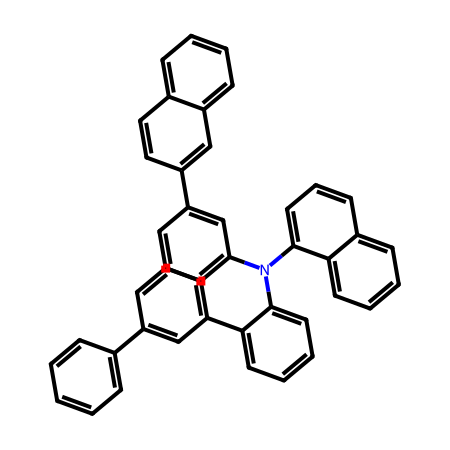 c1ccc(-c2cccc(-c3ccccc3N(c3cccc(-c4ccc5ccccc5c4)c3)c3cccc4ccccc34)c2)cc1